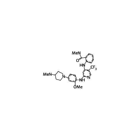 CNC(=O)c1ccccc1Nc1cc(Nc2ccc(N3CCC(NC)CC3)cc2OC)ncc1C(F)(F)F